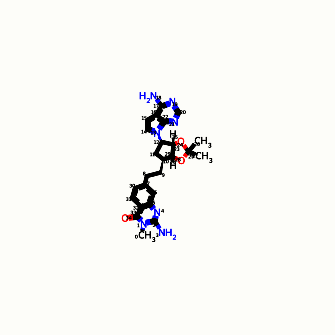 Cn1c(N)nc2cc(CC[C@H]3C[C@@H](n4ccc5c(N)ncnc54)[C@@H]4OC(C)(C)O[C@H]34)ccc2c1=O